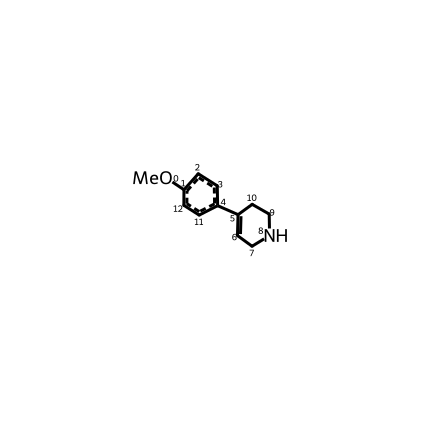 COc1ccc(C2=CCNCC2)cc1